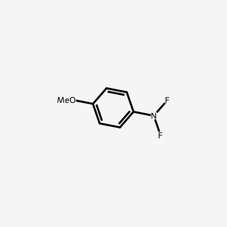 COc1ccc(N(F)F)cc1